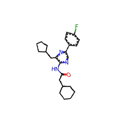 O=C(CC1CCCCC1)Nc1ncc(-c2ccc(F)cc2)nc1CC1CCCC1